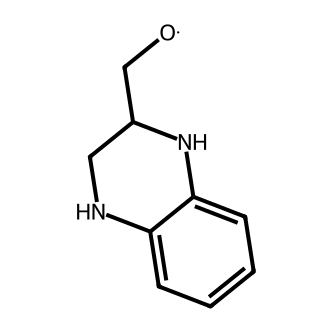 [O]CC1CNc2ccccc2N1